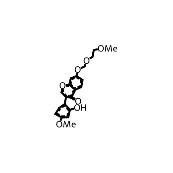 COCCOCOc1ccc2c(=O)c(-c3ccc(OC)cc3O)coc2c1